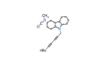 CCCCC#CC#CCn1c2ccccc2c2ccccc21.CN=C=O